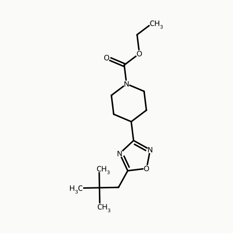 CCOC(=O)N1CCC(c2noc(CC(C)(C)C)n2)CC1